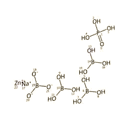 O=P(O)(O)O.OB(O)O.OB(O)O.OB(O)O.[Na+].[O-]B([O-])[O-].[Zn+2]